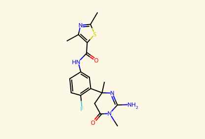 Cc1nc(C)c(C(=O)Nc2ccc(F)c(C3(C)CC(=O)N(C)C(N)=N3)c2)s1